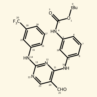 CC(C)(C)OC(=O)Nc1cccc(Nc2nc(Nc3cccc(C(F)(F)F)c3)ncc2C=O)c1